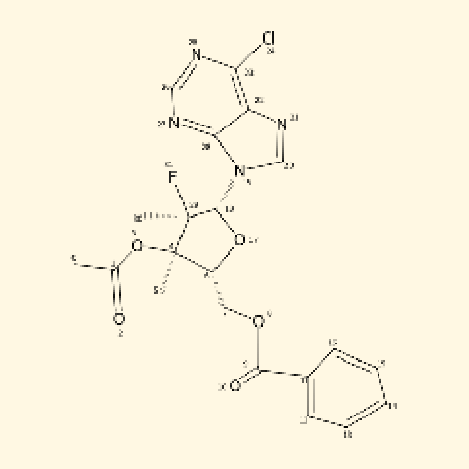 CC(=O)O[C@]1(C)[C@@H](COC(=O)c2ccccc2)O[C@@H](n2cnc3c(Cl)ncnc32)[C@]1(C)F